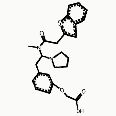 CN(C(=O)Cc1cc2ccccc2s1)C(Cc1cccc(OCC(=O)O)c1)N1CCCC1